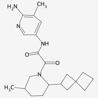 Cc1cc(NC(=O)C(=O)N2CC(C)CCC2C2CC3(CCC3)C2)cnc1N